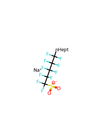 CCCCCCCC(F)(F)C(F)(F)C(F)(F)C(F)(F)C(F)(F)S(=O)(=O)[O-].[Na+]